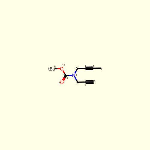 C#CCN(CC#CC)C(=O)OC(C)(C)C